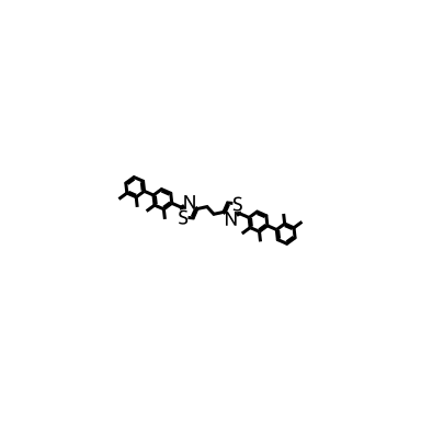 Cc1cccc(-c2ccc(-c3nc(CCc4csc(-c5ccc(-c6cccc(C)c6C)c(C)c5C)n4)cs3)c(C)c2C)c1C